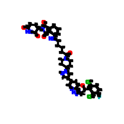 CC(Oc1cc(-c2cnn(C3CCN(C(=O)CCCCNc4cccc5c4C(=O)N(C4CCC(=O)NC4=O)C5=O)CC3)c2)cnc1N)c1c(Cl)ccc(F)c1Cl